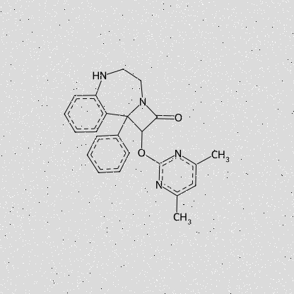 Cc1cc(C)nc(OC2C(=O)N3CCNc4ccccc4C23c2ccccc2)n1